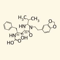 CC(C)C1N[C@@H]([C@H](O)[C@H](Cc2ccccc2)NC(=O)O)C(=O)N1CCc1ccc2c(c1)OCO2